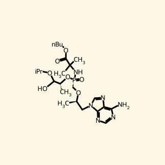 CCCCOC(=O)C(C)(C)N[P@](=O)(CO[C@H](C)Cn1cnc2c(N)ncnc21)O[C@H](C)C(O)OC(C)C